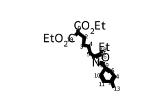 CCOC(=O)C(CCCCc1nc(-c2ccc(C)cc2)oc1CC)C(=O)OCC